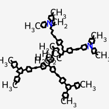 C=C/C(=C\C=C\C#Cc1ccc(/C=C/C(=C\C(=C)C(=C)/C=C\C(=C)C#CC(=C)/C=C\C(=C)C(c2ccc(C#Cc3ccc(-c4cc(-c5ccc(C)cc5)cc(-c5ccc(C)cc5)c4)cc3)cc2)c2ccc(C#Cc3ccc(-c4cc(-c5ccc(C)cc5)cc(-c5ccc(C)cc5)c4)cc3)cc2)c2ccc(C#Cc3ccc(N(c4ccc(C)cc4)c4ccc(C)cc4)cc3)cc2)cc1)N(c1ccc(C)cc1)c1ccc(C)cc1